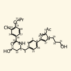 CC(=O)c1nc(-c2ccc(C[C@@H](CCO)NC(=O)c3ccc(OC(C)C)c(Cl)c3)cc2)cn1CCCO